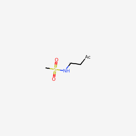 CC(=O)C[CH]NS(C)(=O)=O